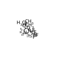 CC(C)(C)OC(=O)C1CCCN1c1ccc(C(F)(F)F)c(F)n1